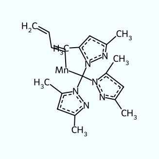 C=CC=[CH][Mn][C](n1nc(C)cc1C)(n1nc(C)cc1C)n1nc(C)cc1C